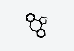 c1ccc2c(c1)CCc1ccccc1C1=C2COC1